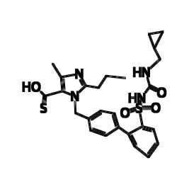 CCCc1nc(C)c(C(O)=S)n1Cc1ccc(-c2ccccc2S(=O)(=O)NC(=O)NCC2CC2)cc1